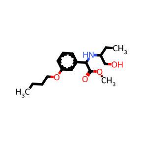 CCCCOc1cccc(C(NC(CC)CO)C(=O)OC)c1